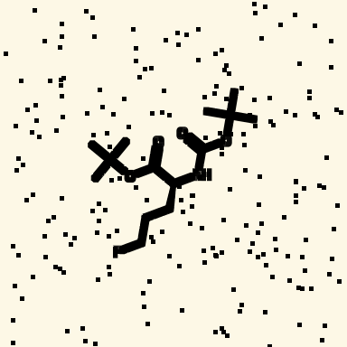 CC(C)(C)OC(=O)N[C@@H](CCCF)C(=O)OC(C)(C)C